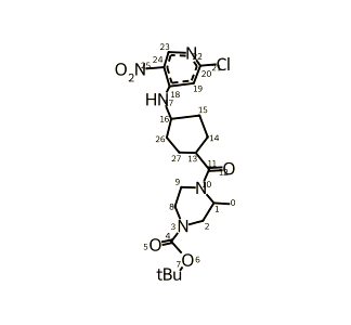 CC1CN(C(=O)OC(C)(C)C)CCN1C(=O)C1CCC(Nc2cc(Cl)ncc2[N+](=O)[O-])CC1